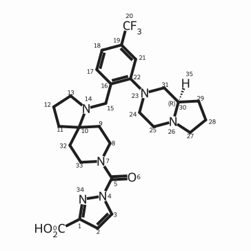 O=C(O)c1ccn(C(=O)N2CCC3(CCCN3Cc3ccc(C(F)(F)F)cc3N3CCN4CCC[C@@H]4C3)CC2)n1